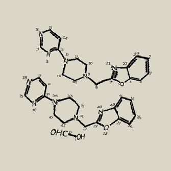 O=CO.c1ccc2oc(CN3CCN(c4ccncn4)CC3)nc2c1.c1ccc2oc(CN3CCN(c4ccncn4)CC3)nc2c1